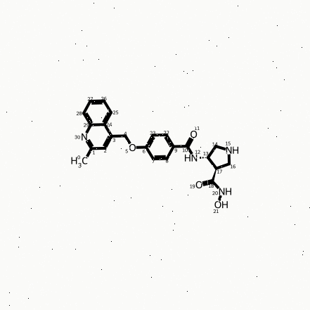 Cc1cc(COc2ccc(C(=O)N[C@@H]3CNC[C@H]3C(=O)NO)cc2)c2ccccc2n1